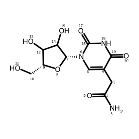 NC(=O)Cc1cn([C@@H]2O[C@H](CO)C(O)C2O)c(=O)[nH]c1=O